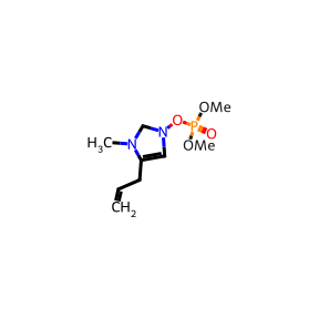 C=CCC1=CN(OP(=O)(OC)OC)CN1C